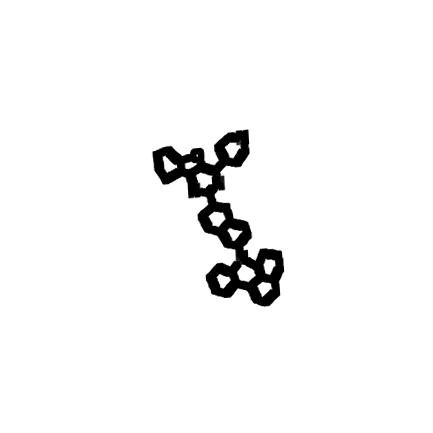 c1ccc2c(c1)-c1cccc3cccc(c13)N2c1ccc2cc(-c3nc(-c4ccncc4)c4oc5ccccc5c4n3)ccc2c1